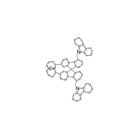 c1ccc(-c2ccc3c(c2)C2(c4cc(-c5ccccc5)ccc4-c4c(Cn5c6ccccc6c6ccccc65)cccc42)c2cccc(Cn4c5ccccc5c5ccccc54)c2-3)cc1